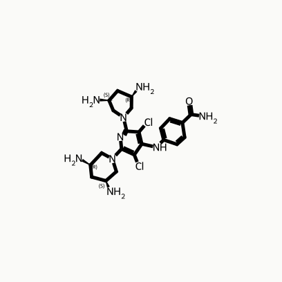 NC(=O)c1ccc(Nc2c(Cl)c(N3C[C@H](N)C[C@H](N)C3)nc(N3C[C@H](N)C[C@H](N)C3)c2Cl)cc1